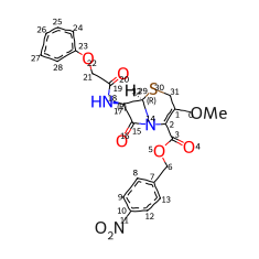 COC1=C(C(=O)OCc2ccc([N+](=O)[O-])cc2)N2C(=O)[C@@H](NC(=O)COc3ccccc3)[C@H]2SC1